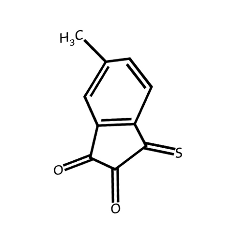 Cc1ccc2c(=S)c(=O)c(=O)c2c1